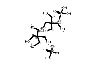 O=P(O)(O)O.O=P(O)(O)O.OCC(CO)(CO)CO.OCC(CO)(CO)CO